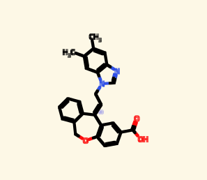 Cc1cc2ncn(C/C=C3\c4ccccc4COc4ccc(C(=O)O)cc43)c2cc1C